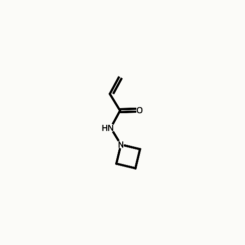 C=CC(=O)NN1CCC1